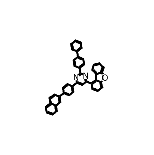 c1ccc(-c2ccc(-c3nc(-c4ccc(-c5ccc6ccccc6c5)cc4)cc(-c4cccc5oc6ccccc6c45)n3)cc2)cc1